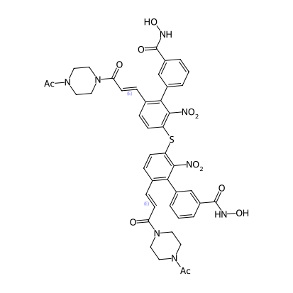 CC(=O)N1CCN(C(=O)/C=C/c2ccc(Sc3ccc(/C=C/C(=O)N4CCN(C(C)=O)CC4)c(-c4cccc(C(=O)NO)c4)c3[N+](=O)[O-])c([N+](=O)[O-])c2-c2cccc(C(=O)NO)c2)CC1